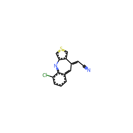 N#CC=C1C=c2cccc(Cl)c2=Nc2cscc21